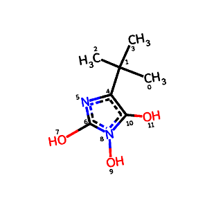 CC(C)(C)c1nc(O)n(O)c1O